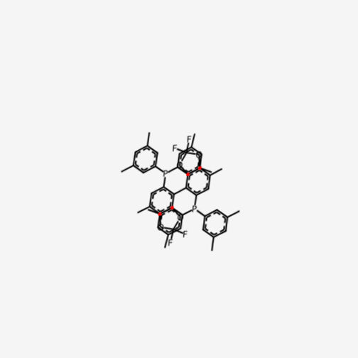 Cc1cc(C)cc(P(c2cc(C)cc(C)c2)c2cc(C)c3c(c2-c2c(P(c4cc(C)cc(C)c4)c4cc(C)cc(C)c4)cc(C)c4c2OC(F)(F)O4)OC(F)(F)O3)c1